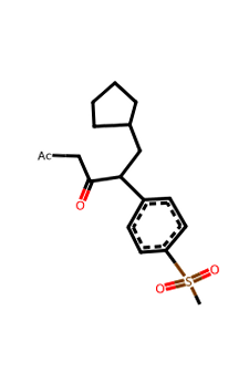 CC(=O)CC(=O)C(CC1CCCC1)c1ccc(S(C)(=O)=O)cc1